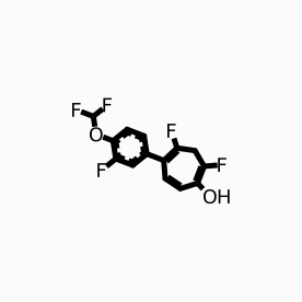 OC1=C(F)CC(F)=C(c2ccc(OC(F)F)c(F)c2)C=C1